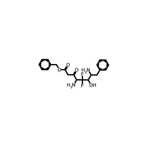 NC(Cc1ccccc1)C(O)C(F)(F)C(N)C(=O)CC(=O)OCc1ccccc1